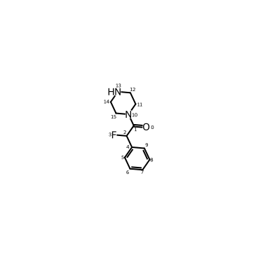 O=C(C(F)c1ccccc1)N1CCNCC1